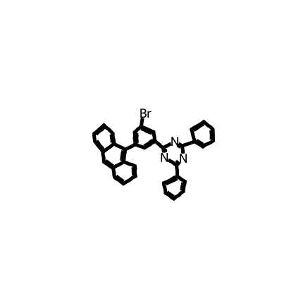 Brc1cc(-c2nc(-c3ccccc3)nc(-c3ccccc3)n2)cc(-c2c3ccccc3cc3ccccc23)c1